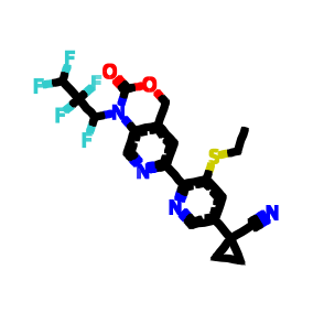 CCSc1cc(C2(C#N)CC2)cnc1-c1cc2c(cn1)N(C(F)C(F)(F)C(F)F)C(=O)OC2